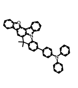 CC1(C)c2ccc(-c3ccc(N(c4ccccc4)c4ccccc4)cc3)cc2-n2c3ccccc3c3c4oc5ccccc5c4cc1c32